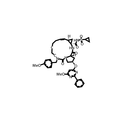 COc1ccc(CN2CCCCC/C=C\[C@H]3C[C@@]3(C(=O)NS(=O)(=O)C3CC3)NC(=O)[C@@H]3C[C@@H](Oc4cc(OC)nc(-c5ccccc5)n4)CN3C2=O)cc1